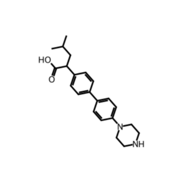 CC(C)CC(C(=O)O)c1ccc(-c2ccc(N3CCNCC3)cc2)cc1